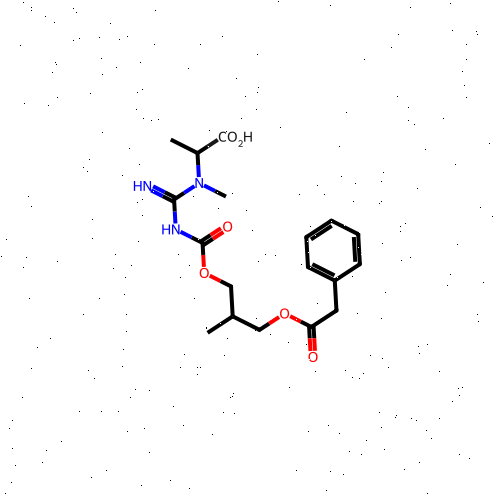 CC(COC(=O)Cc1ccccc1)COC(=O)NC(=N)N(C)C(C)C(=O)O